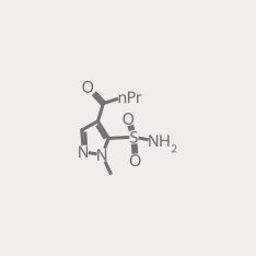 CCCC(=O)c1cnn(C)c1S(N)(=O)=O